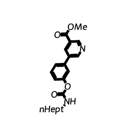 CCCCCCCNC(=O)Oc1cccc(-c2cncc(C(=O)OC)c2)c1